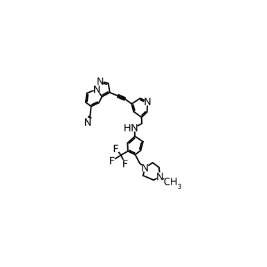 CN1CCN(Cc2ccc(NCc3cncc(C#Cc4cnn5ccc(C#N)cc45)c3)cc2C(F)(F)F)CC1